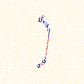 CC(=O)c1c(C)c2cnc(Nc3ccc(N4CCN(CC(=O)NCCOCCOCCOCCOCCOCCNc5ccc(C(=O)Nc6ccccc6)c(C)c5)CC4)cn3)nc2n(C2CCCC2)c1=O